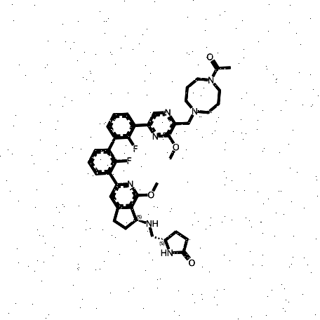 COc1nc(-c2cccc(-c3cccc(-c4cc5c(c(OC)n4)[C@@H](NC[C@@H]4CCC(=O)N4)CC5)c3F)c2F)cnc1CN1CCCN(C(C)=O)CCC1